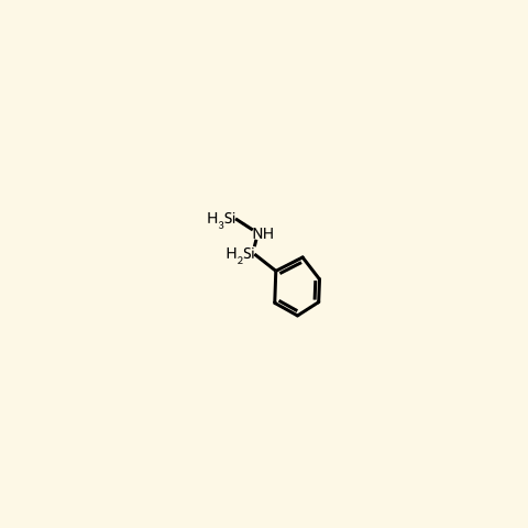 [SiH3]N[SiH2]c1ccccc1